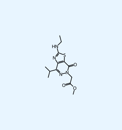 CCNc1nc2c(C(C)C)nn(CC(=O)OC)c(=O)c2s1